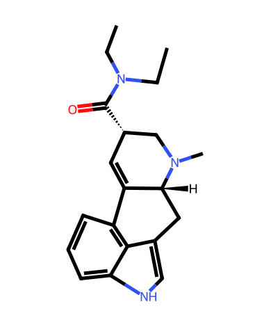 CCN(CC)C(=O)[C@H]1C=C2c3cccc4[nH]cc(c34)C[C@H]2N(C)C1